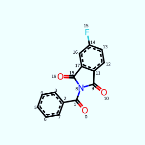 O=C(c1ccccc1)N1C(=O)c2ccc(F)cc2C1=O